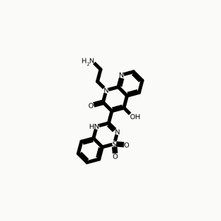 NCCn1c(=O)c(C2=NS(=O)(=O)c3ccccc3N2)c(O)c2cccnc21